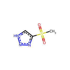 CS(=O)(=O)c1c[nH]nn1